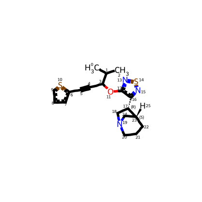 CC(C)C(C#Cc1cccs1)Oc1nsnc1[C@H]1CN2CCC[C@@H]1C2